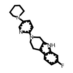 Fc1ccc2c3c([nH]c2c1)CN(c1ccc(N2CCCCC2)cn1)CC3